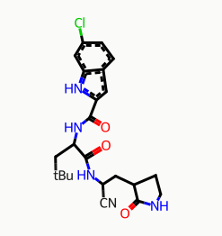 CC(C)(C)CC(NC(=O)c1cc2ccc(Cl)cc2[nH]1)C(=O)NC(C#N)CC1CCNC1=O